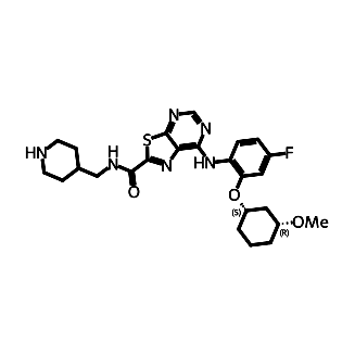 CO[C@@H]1CCC[C@H](Oc2cc(F)ccc2Nc2ncnc3sc(C(=O)NCC4CCNCC4)nc23)C1